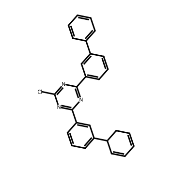 Clc1nc(-c2cccc(-c3ccccc3)c2)nc(-c2cccc(C3C=CC=CC3)c2)n1